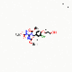 CC(C)(C)OC(=O)/N=C(/NC(=O)OC(C)(C)C)N(Cc1ccc(OCCCO)c(Br)c1)C(=O)OC(C)(C)C